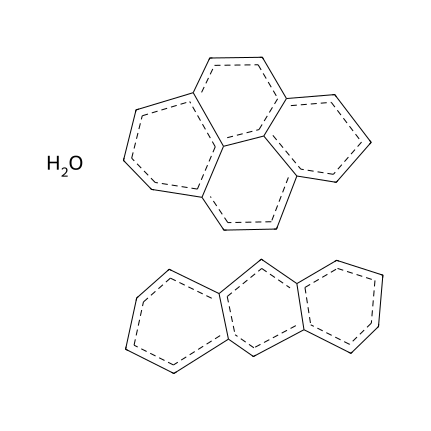 O.c1cc2ccc3cccc4ccc(c1)c2c34.c1ccc2cc3ccccc3cc2c1